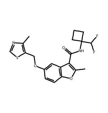 Cc1ncsc1COc1ccc2oc(C)c(C(=O)NC3(C(F)F)CCC3)c2c1